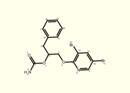 NC(=O)OC(COc1ncc(Br)cc1Br)Cc1ccccc1